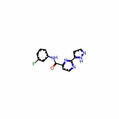 O=C(Nc1cccc(F)c1)c1ccnc(-c2ccn[nH]2)n1